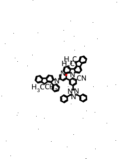 CC1(C)c2ccccc2-c2ccc3c(c21)c1ccccc1n3-c1cncc(-c2cc(-c3nc(-c4ccccc4)nc(-c4ccccc4)n3)cc(C#N)c2-n2c3ccccc3c3c4c(ccc32)-c2ccccc2C4(C)C)c1